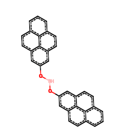 B(Oc1cc2ccc3cccc4ccc(c1)c2c34)Oc1cc2ccc3cccc4ccc(c1)c2c34